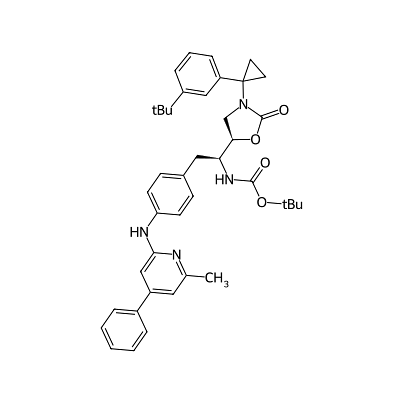 Cc1cc(-c2ccccc2)cc(Nc2ccc(C[C@H](NC(=O)OC(C)(C)C)[C@H]3CN(C4(c5cccc(C(C)(C)C)c5)CC4)C(=O)O3)cc2)n1